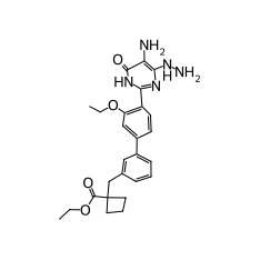 CCOC(=O)C1(Cc2cccc(-c3ccc(-c4nc(NN)c(N)c(=O)[nH]4)c(OCC)c3)c2)CCC1